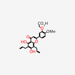 C=CCc1c(O)c(CC=C)c2oc(-c3ccc(OC)c(OCC(=O)O)c3)cc(=O)c2c1O